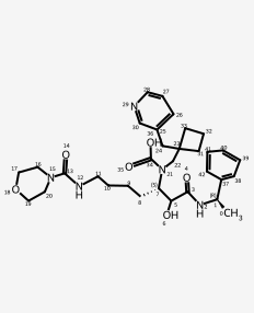 C[C@@H](NC(=O)C(O)[C@H](CCCCNC(=O)N1CCOCC1)N(CC1(Cc2cccnc2)CCC1)C(=O)O)c1ccccc1